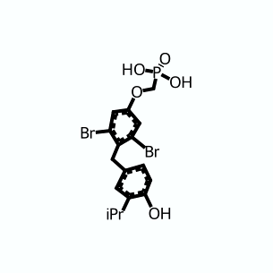 CC(C)c1cc(Cc2c(Br)cc(OCP(=O)(O)O)cc2Br)ccc1O